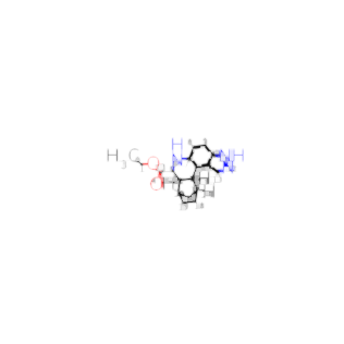 CCOC(=O)[C@@H]1Nc2ccc3[nH]ncc3c2[C@H]2[C@@H]3CCC(C3)[C@H]21